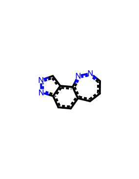 c1cnnc2c(c1)ccc1nncc12